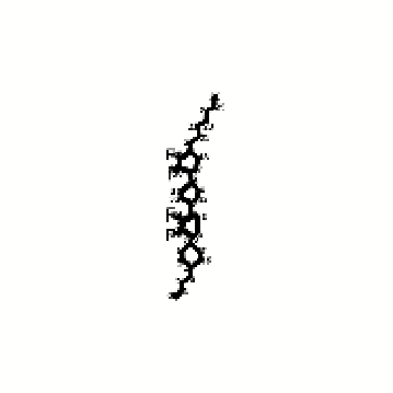 C=CCCC1CCC(c2ccc(-c3ccc(-c4ccc(CCCCCCC)c(F)c4F)cc3)c(F)c2F)CC1